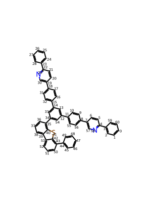 c1ccc(-c2ccc(-c3ccc(-c4cc(-c5ccc(-c6ccc(-c7ccccc7)nc6)cc5)cc(-c5cccc6c5sc5c(-c7ccccc7)cccc56)c4)cc3)cn2)cc1